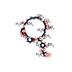 CO[C@H]1C[C@@H]2CC[C@@H](C)[C@@](O)(O2)C(=O)C(=O)N2CCCC[C@H]2C(=O)O[C@H]([C@H](C)C[C@@H]2CC[C@@H](OC(=O)C(C)(CO)CO)[C@H](OC)C2)CC(=O)[C@H](C)/C=C(\C)[C@@H](O)[C@@H](OC)C(=O)[C@H](C)CC[C@H](C)/C=C/C=C/C=C/1C